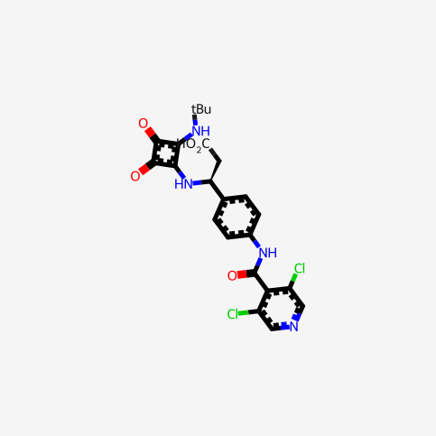 CC(C)(C)Nc1c(N[C@@H](CC(=O)O)c2ccc(NC(=O)c3c(Cl)cncc3Cl)cc2)c(=O)c1=O